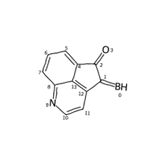 B=c1c(=O)c2cccc3nccc1c32